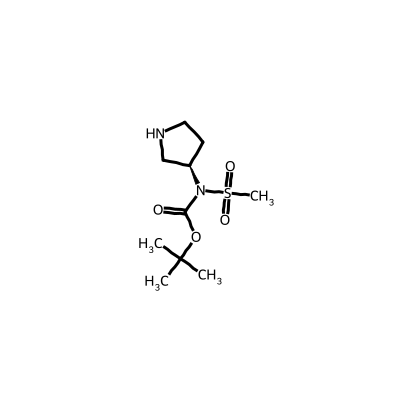 CC(C)(C)OC(=O)N([C@@H]1CCNC1)S(C)(=O)=O